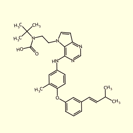 Cc1cc(Nc2ncnc3ccn(CCN(C(=O)O)C(C)(C)C)c23)ccc1Oc1cccc(C=CC(C)C)c1